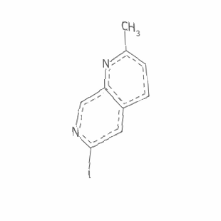 Cc1ccc2cc(I)ncc2n1